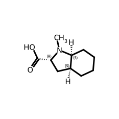 CN1[C@@H](C(=O)O)C[C@@H]2CCCC[C@@H]21